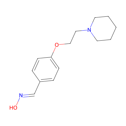 ON=Cc1ccc(OCCN2CCCCC2)cc1